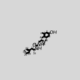 Cc1cc(O)ccc1C[C@@H](CNC(=O)N[C@H](C)Cc1ccsc1)N(C)C